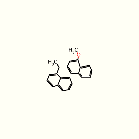 CCc1cccc2ccccc12.COc1cccc2ccccc12